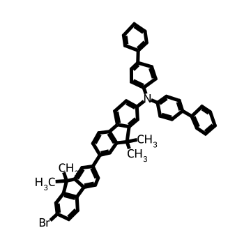 CC1(C)c2cc(Br)ccc2-c2ccc(-c3ccc4c(c3)C(C)(C)c3cc(N(c5ccc(-c6ccccc6)cc5)c5ccc(-c6ccccc6)cc5)ccc3-4)cc21